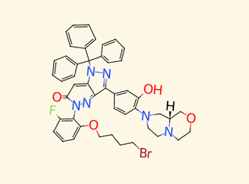 O=c1cc2c(nn1-c1c(F)cccc1OCCCCBr)c(-c1ccc(N3CCN4CCOC[C@H]4C3)c(O)c1)nn2C(c1ccccc1)(c1ccccc1)c1ccccc1